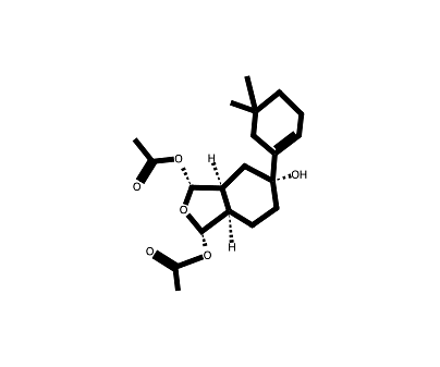 CC(=O)O[C@H]1O[C@@H](OC(C)=O)[C@@H]2CC[C@](O)(C3=CCCC(C)(C)C3)C[C@H]12